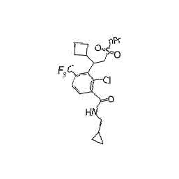 CCCS(=O)(=O)CC(c1c(C(F)(F)F)ccc(C(=O)NCC2CC2)c1Cl)C1CCC1